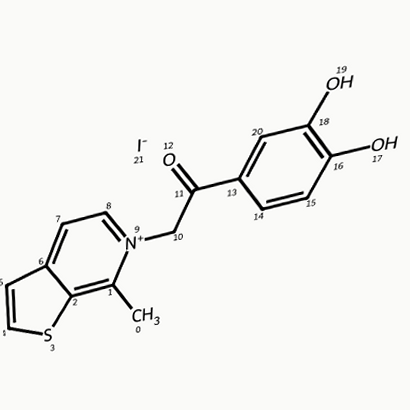 Cc1c2sccc2cc[n+]1CC(=O)c1ccc(O)c(O)c1.[I-]